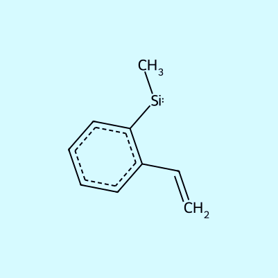 C=Cc1ccccc1[Si]C